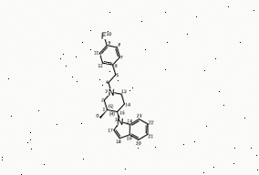 C[C@H]1CN(CCc2ccc(F)cc2)CC[C@H]1n1ccc2ccccc21